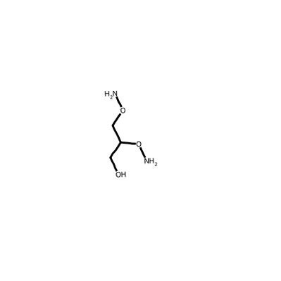 NOCC(CO)ON